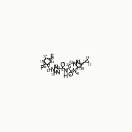 CN1C(=O)C(NC(=O)c2ncn(Cc3cc(F)ccc3F)n2)CCn2nc(C3CC3)cc21